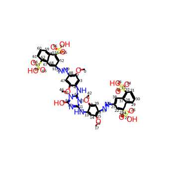 COc1cc(Nc2nc(O)nc(Nc3cc(OC)c(/N=N/c4cc(S(=O)(=O)O)c5cccc(S(=O)(=O)O)c5c4)cc3OC)n2)c(OC)cc1/N=N/c1cc(S(=O)(=O)O)c2cccc(S(=O)(=O)O)c2c1